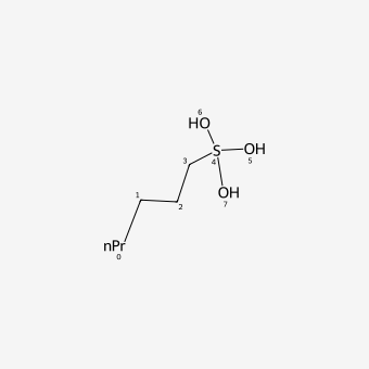 CCCCCCS(O)(O)O